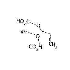 C=CCOC(=O)O.CC(C)OC(=O)O